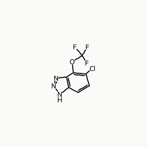 FC(F)(F)Oc1c(Cl)ccc2[nH]nnc12